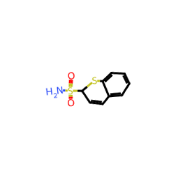 NS(=O)(=O)C1C=Cc2ccccc2S1